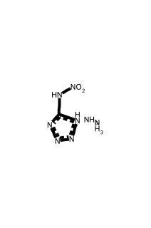 N.N.O=[N+]([O-])Nc1nnn[nH]1